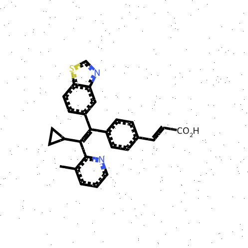 Cc1cccnc1/C(=C(\c1ccc(/C=C/C(=O)O)cc1)c1ccc2scnc2c1)C1CC1